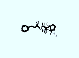 CC1(C)C=CC[C@]1(C)C(=O)COC(=O)CCc1ccccc1